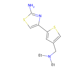 CCN(CC)Cc1csc(-c2csc(N)n2)c1